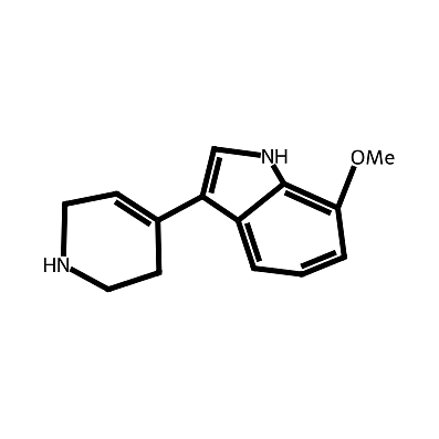 COc1cccc2c(C3=CCNCC3)c[nH]c12